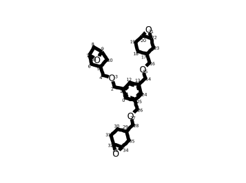 c1c(COCC2CC3CC(C2)O3)cc(COCC2CCC3OC3C2)cc1COCC1CCC2OC2C1